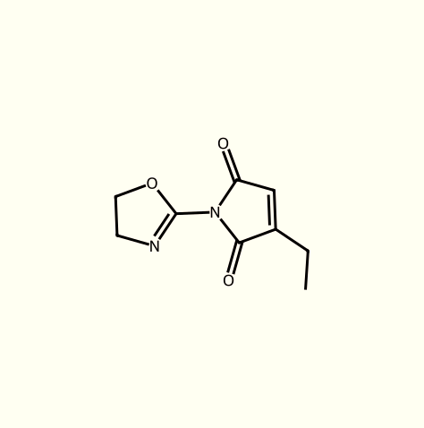 CCC1=CC(=O)N(C2=NCCO2)C1=O